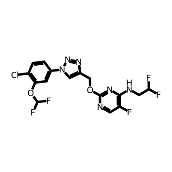 Fc1cnc(OCc2cn(-c3ccc(Cl)c(OC(F)F)c3)nn2)nc1NCC(F)F